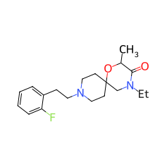 CCN1CC2(CCN(CCc3ccccc3F)CC2)OC(C)C1=O